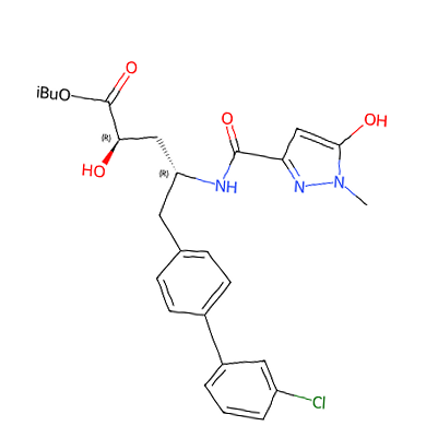 CC(C)COC(=O)[C@H](O)C[C@@H](Cc1ccc(-c2cccc(Cl)c2)cc1)NC(=O)c1cc(O)n(C)n1